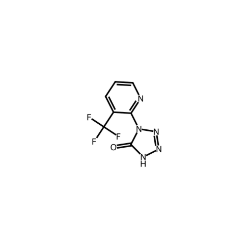 O=c1[nH]nnn1-c1ncccc1C(F)(F)F